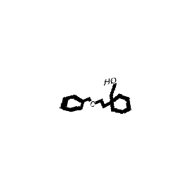 OCCC1(CCOCc2ccccc2)CCCCC1